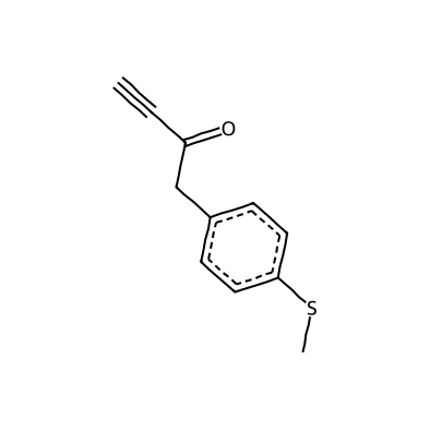 C#CC(=O)Cc1ccc(SC)cc1